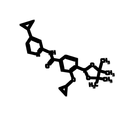 CC1(C)OB(c2ccc(C(=O)Nc3cc(C4CC4)ccn3)cc2OC2CC2)OC1(C)C